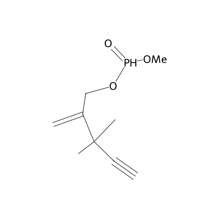 C#CC(C)(C)C(=C)CO[PH](=O)OC